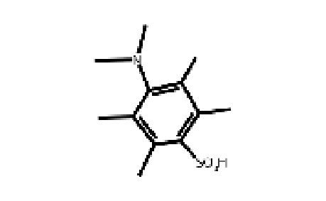 Cc1c(C)c(S(=O)(=O)O)c(C)c(C)c1N(C)C